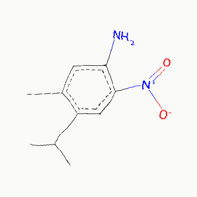 Cc1cc(N)c([N+](=O)[O-])cc1C(C)C